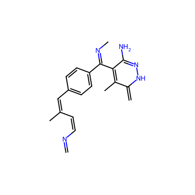 C=N/C=C\C(C)=C/c1ccc(/C(=N/C)C2=C(C)C(=C)NN=C2N)cc1